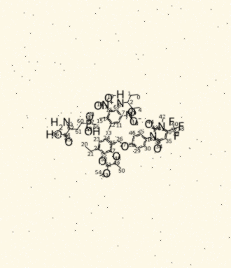 CCC(CC)Nc1c([N+](=O)[O-])cc(C)c(C)c1[N+](=O)[O-].CCc1ccc(COc2ccc(-n3c(=O)cc(C(F)(F)F)n(C)c3=O)cc2)c(OC(C)C(=O)OC)c1.CP(=O)(O)CCC(N)C(=O)O